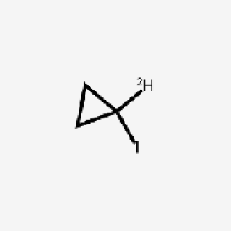 [2H]C1(I)CC1